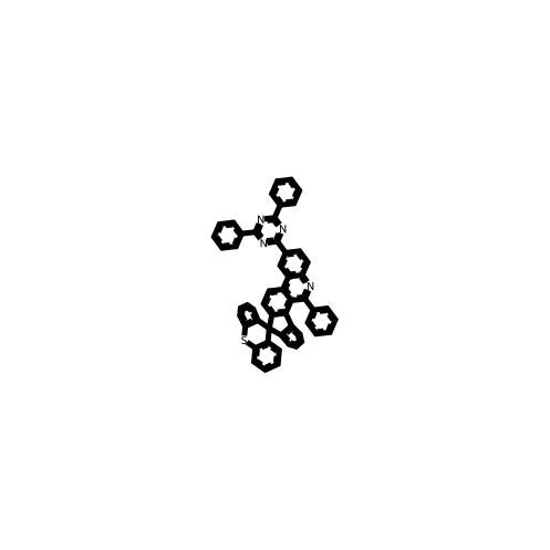 c1ccc(-c2nc(-c3ccccc3)nc(-c3ccc4nc(-c5ccccc5)c5c6c(ccc5c4c3)C3(c4ccccc4Sc4ccccc43)c3ccccc3-6)n2)cc1